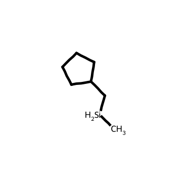 C[SiH2]CC1CCCC1